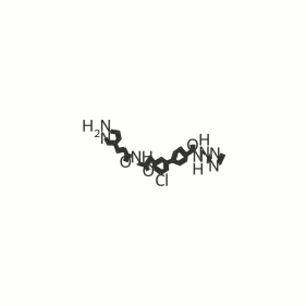 Nc1ccc(C=CC(=O)NCc2cc3cc(-c4ccc(C(=O)NNc5cnccn5)cc4)cc(Cl)c3o2)cn1